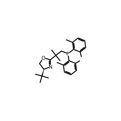 Cc1cccc(C)c1P(CC(C)(C)C1=N[C@@H](C(C)(C)C)CO1)c1c(C)cccc1C